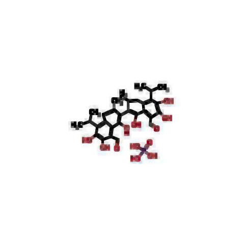 Cc1cc2c(C(C)C)c(O)c(O)c(C=O)c2c(O)c1-c1c(C)cc2c(C(C)C)c(O)c(O)c(C=O)c2c1O.O=P(O)(O)O